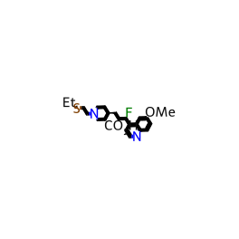 CCSCCN1CC[C@@H](CC[C@@H](F)c2ccnc3ccc(OC)cc23)[C@@H](C(=O)O)C1